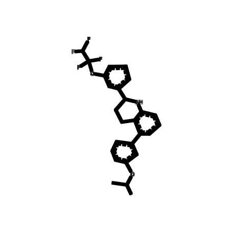 CC(C)Oc1cccc(-c2cccc3c2CCC(c2cccc(OC(F)(F)C(F)F)c2)N3)c1